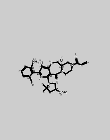 C=CC(=O)N1CCN2C(=O)c3c(N4CC(OC)CC4(C)C)nc(-c4c(N)cccc4F)c(Cl)c3OC[C@H]2C1